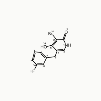 O=c1[nH]cc(Cc2cccc(F)c2)c(O)c1Br